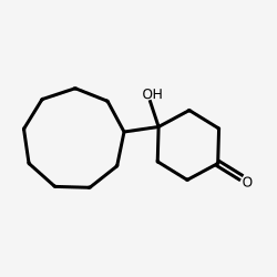 O=C1CCC(O)(C2CCCCCCCC2)CC1